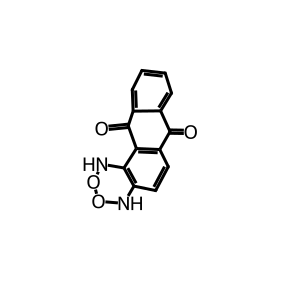 O=C1c2ccccc2C(=O)c2c1ccc1[nH]oo[nH]c21